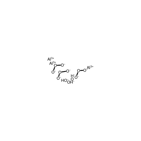 [Al+3].[Al+3].[Al+3].[O-]O[O-].[O-]O[O-].[O-]O[O-].[OH-].[OH-].[OH-]